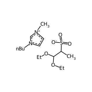 CCCCn1cc[n+](C)c1.CCOC(OCC)C(C)S(=O)(=O)[O-]